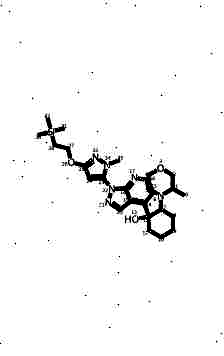 CC1COCCN1C1CCCCC1(O)c1ccnc2c1cnn2-c1cc(OCC[Si](C)(C)C)nn1C